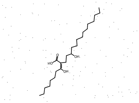 CCCCCCCCCCCC(O)CCC(C(=O)O)=C(O)CCCCCCC